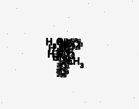 CNC(C(=O)NC(Cc1ccccc1)C(=O)N(C)NC)C(C)c1ccc2ccccc2c1